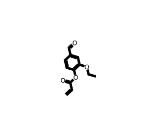 C=CC(=O)Oc1ccc(C=O)cc1OCC